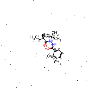 C=C(CC)C(=O)N(NC(=O)c1cccc(C)c1C)C(C)(C)C